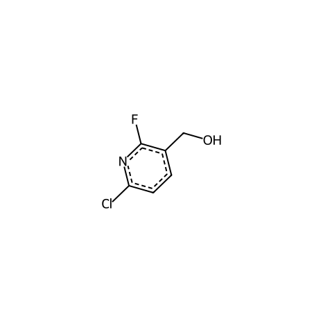 OCc1ccc(Cl)nc1F